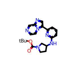 CC(C)(C)OC(=O)N1CCC(Nc2cccc(-c3cnc4cnccn34)n2)C1